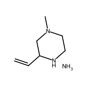 C=CC1CN(C)CCN1.N